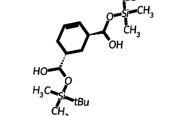 CC(C)(C)[Si](C)(C)OC(O)[C@@H]1CC=C[C@@H](C(O)O[Si](C)(C)C(C)(C)C)C1